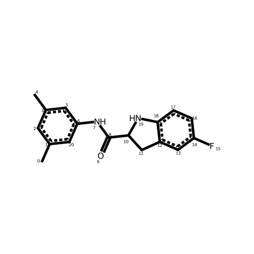 Cc1cc(C)cc(NC(=O)C2Cc3cc(F)ccc3N2)c1